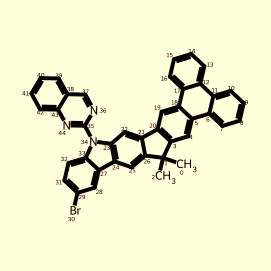 CC1(C)c2cc3c4ccccc4c4ccccc4c3cc2-c2cc3c(cc21)c1cc(Br)ccc1n3-c1ncc2ccccc2n1